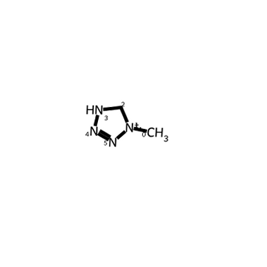 C[N+]1CNN=N1